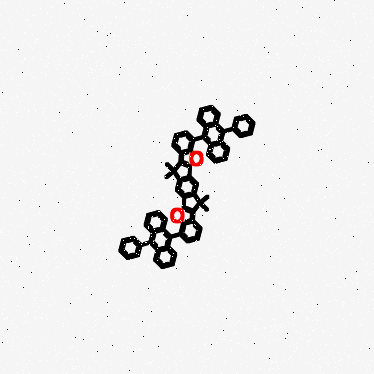 CC1(C)c2cc3c(cc2-c2oc4c(-c5c6ccccc6c(-c6ccccc6)c6ccccc56)cccc4c21)C(C)(C)c1c-3oc2c(-c3c4ccccc4c(-c4ccccc4)c4ccccc34)cccc12